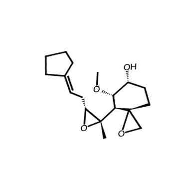 CO[C@@H]1[C@H](O)CC[C@]2(CO2)[C@H]1[C@]1(C)O[C@@H]1CC=C1CCCC1